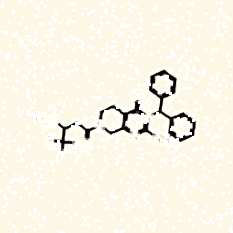 CC(CC(=O)N1CCc2c(nc(N)n(C(c3ccccc3)c3ccccc3)c2=O)C1)C(F)(F)F